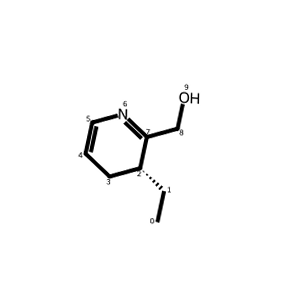 CC[C@@H]1CC=CN=C1CO